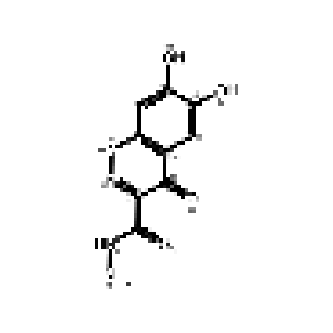 NNC(=O)c1n[nH]c2cc(O)c(O)cc2c1=O